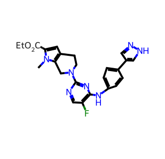 CCOC(=O)c1cc2c(n1C)CN(c1ncc(F)c(Nc3ccc(-c4cn[nH]c4)cc3)n1)CC2